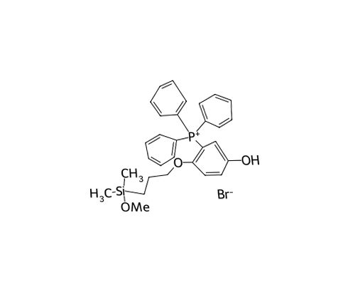 CO[Si](C)(C)CCCOc1ccc(O)cc1[P+](c1ccccc1)(c1ccccc1)c1ccccc1.[Br-]